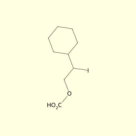 O=C(O)OCC(I)C1CCCCC1